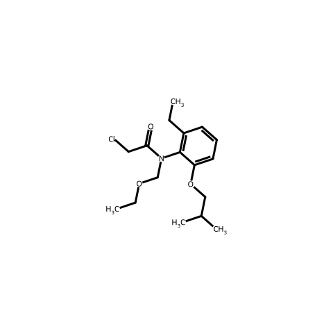 CCOCN(C(=O)CCl)c1c(CC)cccc1OCC(C)C